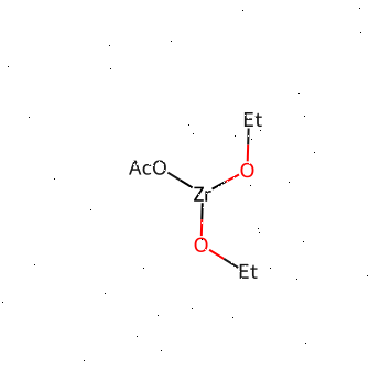 CC[O][Zr]([O]CC)[O]C(C)=O